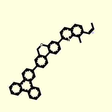 C/C=C\c1ccc2ccc(-c3ccc4c(c3)OCc3cc(-c5ccc6c7ccccc7c7ccccc7c6c5)ccc3-4)nc2c1C